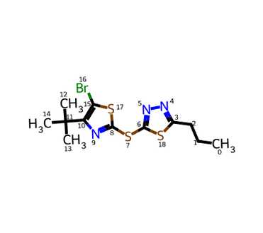 CCCc1nnc(Sc2nc(C(C)(C)C)c(Br)s2)s1